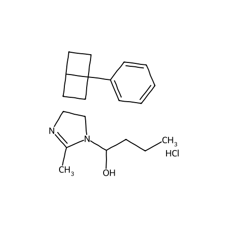 CCCC(O)N1CCN=C1C.Cl.c1ccc(C23CCC2CC3)cc1